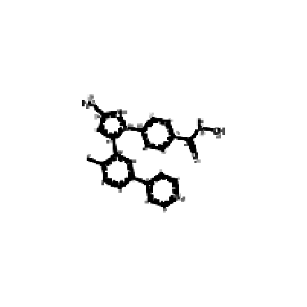 Cc1ccc(-c2ccncc2)cc1-c1cc(C(F)(F)F)nn1-c1ccc(C(=O)NO)cc1